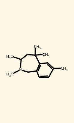 Cc1ccc2c(c1)C(C)(C)CC(C)N(C)C2